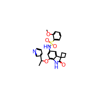 COc1ccccc1S(=O)(=O)Nc1cc(OC(C)c2cccnc2)c2c(c1)C1(CCC1)C(=O)N2